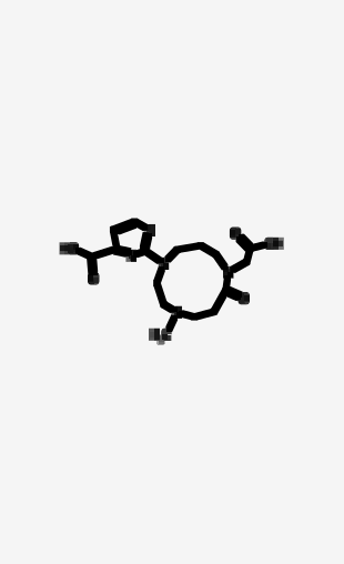 CN1CCC(=O)N(CC(=O)O)CCCN(c2nccc(C(=O)O)n2)CC1